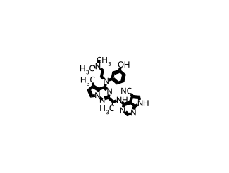 Cc1ccn2nc([C@H](C)Nc3ncnc4[nH]cc(C#N)c34)nc(N(CCN(C)C)c3cccc(O)c3)c12